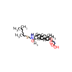 CC(C)=CCCC(C)=CCSCCNC(=O)C1(C)CC[C@]2(C)CC[C@]3(C)C(=CC[C@@H]4[C@@]5(C)CC[C@H](OC(=O)/C=C\C(=O)O)C(C)(C)C5CC[C@]43C)[C@@H]2C1